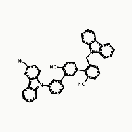 N#Cc1ccc2c(c1)c1ccccc1n2-c1cccc(-c2cc(-c3c(C#N)cccc3Cn3c4ccccc4c4ccccc43)ccc2C#N)c1